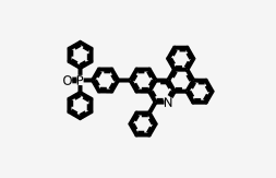 O=P(c1ccccc1)(c1ccccc1)c1ccc(-c2ccc3c(c2)c(-c2ccccc2)nc2c4ccccc4c4ccccc4c32)cc1